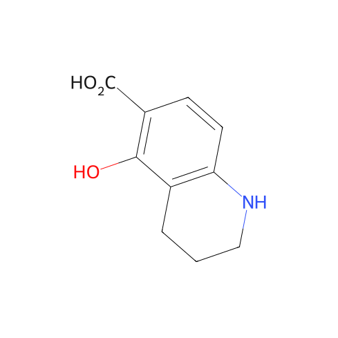 O=C(O)c1ccc2c(c1O)CCCN2